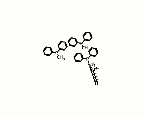 CP(c1ccccc1)c1ccccc1.CP(c1ccccc1)c1ccccc1.CP(c1ccccc1)c1ccccc1.[H-].[H-].[H-].[H-].[H-].[K+].[Ru+4]